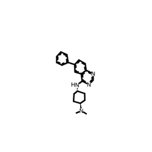 CN(C)[C@H]1CC[C@H](Nc2ncnc3ccc(-c4ccccc4)cc23)CC1